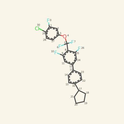 Fc1cc(OC(F)(F)c2c(F)cc(-c3ccc(C4CCCC4)cc3)cc2F)ccc1Cl